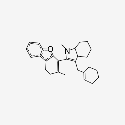 CC1=C(C2=C(CC3=CCCCC3)C3CCCCC3N2C)c2oc3ccccc3c2CC1